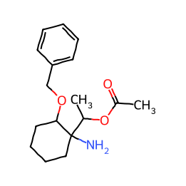 CC(=O)OC(C)C1(N)CCCCC1OCc1ccccc1